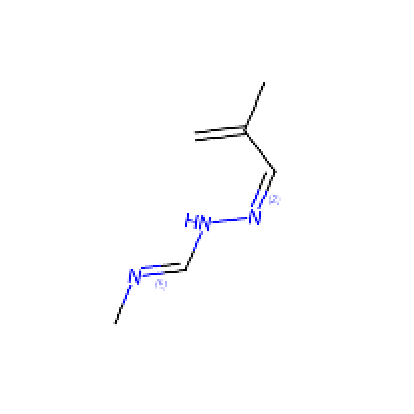 C=C(C)/C=N\N/C=N/C